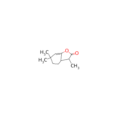 CC1C(=O)OC2=CC(C)(C)CCC21